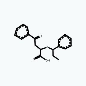 CCC(SC(CC(=O)c1ccccc1)C(=O)O)c1ccccc1